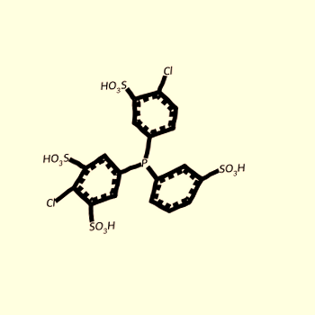 O=S(=O)(O)c1cccc(P(c2ccc(Cl)c(S(=O)(=O)O)c2)c2cc(S(=O)(=O)O)c(Cl)c(S(=O)(=O)O)c2)c1